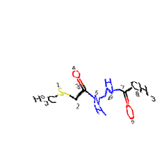 CSCC(=O)NNC(C)=O